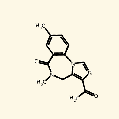 Cc1ccc2c(c1)C(=O)N(C)Cc1c(C(=O)P)ncn1-2